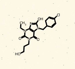 CCn1c(=O)n(CCCO)c(=O)c2c1nc(O)n2CC1C=CC(Cl)=CC1